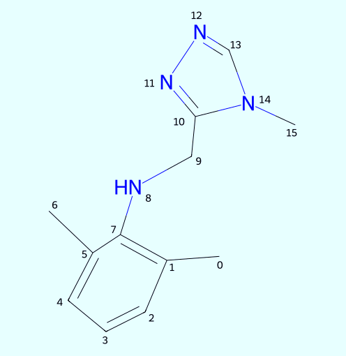 Cc1cccc(C)c1NCc1nncn1C